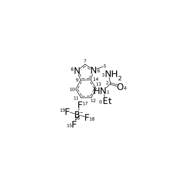 CCNC(N)=O.Cn1cnc2ccccc21.F[B-](F)(F)F